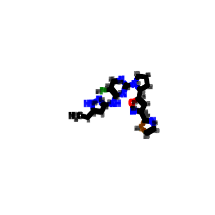 CCc1cc(Nc2nc(N3CCCC3c3cc(-c4nccs4)no3)ncc2F)n[nH]1